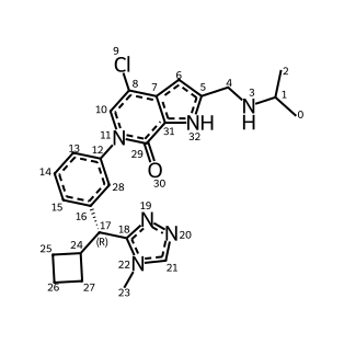 CC(C)NCc1cc2c(Cl)cn(-c3cccc([C@H](c4nncn4C)C4CCC4)c3)c(=O)c2[nH]1